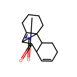 O=C1NC23CCCCC2=C1C(=O)C1C=CCCC13